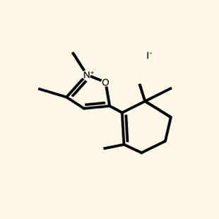 CC1=C(c2cc(C)[n+](C)o2)C(C)(C)CCC1.[I-]